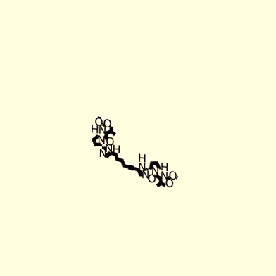 COC(=O)N[C@@H](C(=O)N1CCC[C@H]1c1ncc(C#CCCCCc2cnc([C@@H]3CCCN3C(=O)[C@H](NC(=O)OC)C(C)C)[nH]2)[nH]1)C(C)C